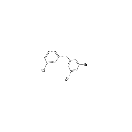 Clc1cccc(Cc2cc(Br)cc(Br)c2)c1